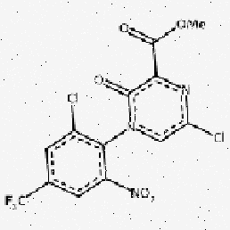 COC(=O)c1nc(Cl)cn(-c2c(Cl)cc(C(F)(F)F)cc2[N+](=O)[O-])c1=O